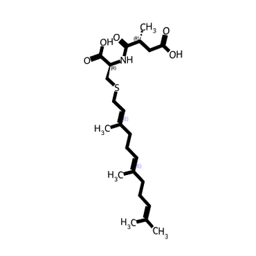 CC(C)=CCC/C(C)=C/CC/C(C)=C/CSC[C@H](NC(=O)[C@H](C)CC(=O)O)C(=O)O